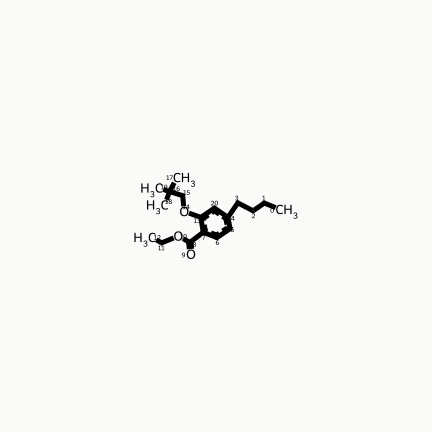 CCCCc1ccc(C(=O)OCC)c(OCC(C)(C)C)c1